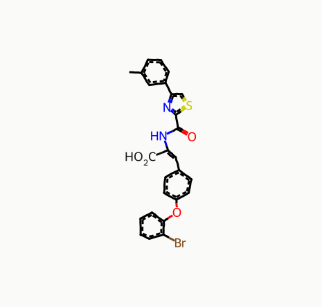 Cc1cccc(-c2csc(C(=O)NC(=Cc3ccc(Oc4ccccc4Br)cc3)C(=O)O)n2)c1